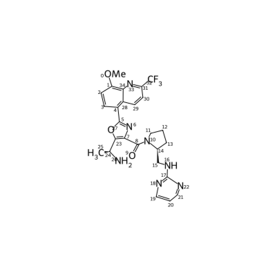 COc1ccc(-c2nc(C(=O)N3CCC[C@H]3CNc3ncccn3)c([C@H](C)N)o2)c2ccc(C(F)(F)F)nc12